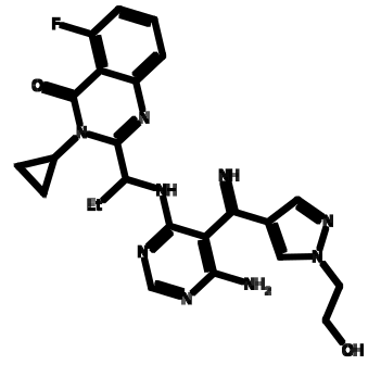 CCC(Nc1ncnc(N)c1C(=N)c1cnn(CCO)c1)c1nc2cccc(F)c2c(=O)n1C1CC1